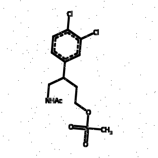 CC(=O)NCC(CCOS(C)(=O)=O)c1ccc(Cl)c(Cl)c1